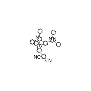 N#Cc1ccc(-c2ccc3c4ccccc4n(-c4ccc(-c5cc(-c6ccccc6)nc(-c6ccccc6)n5)cc4-c4cc(-c5ccccc5)nc(-c5ccccc5)n4)c3c2)c(C#N)c1